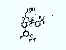 O=S(=O)(c1cccc(C(F)(F)F)c1)N1CC(CC2CNC2)Oc2ccc(-c3cc(F)cc(OC(F)F)c3)cc21